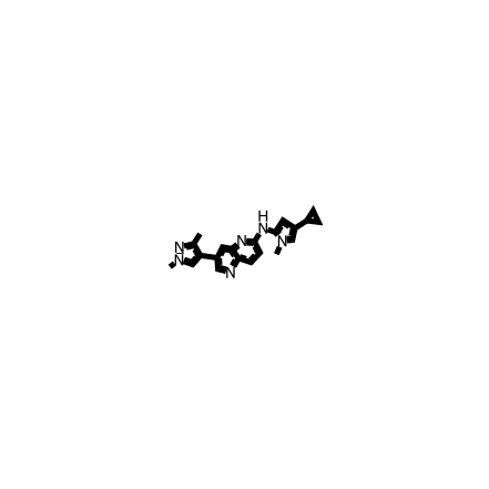 Cc1nn(C)cc1-c1cnc2ccc(Nc3cc(C4CC4)cn3C)nc2c1